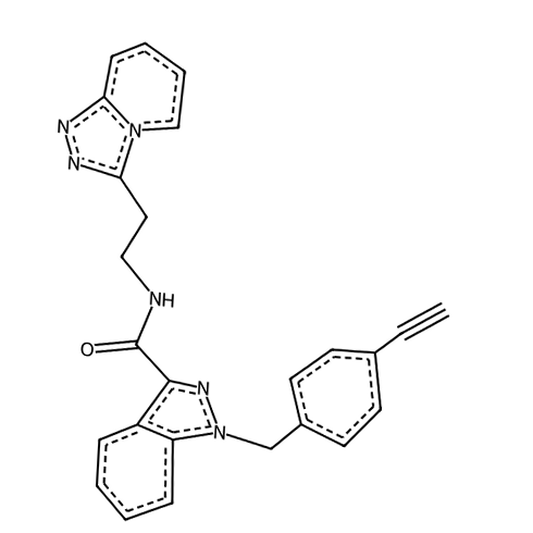 C#Cc1ccc(Cn2nc(C(=O)NCCc3nnc4ccccn34)c3ccccc32)cc1